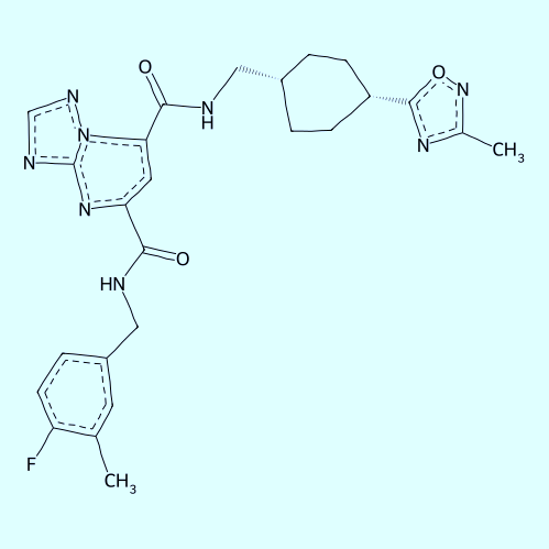 Cc1noc([C@H]2CC[C@@H](CNC(=O)c3cc(C(=O)NCc4ccc(F)c(C)c4)nc4ncnn34)CC2)n1